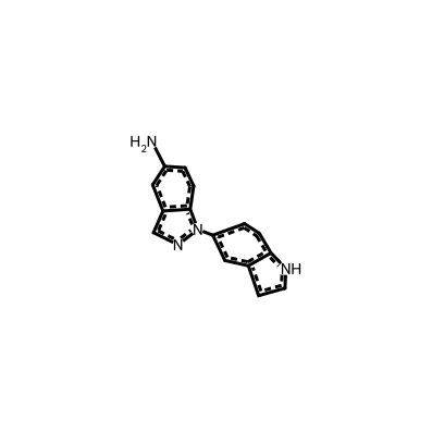 Nc1ccc2c(cnn2-c2ccc3[nH]ccc3c2)c1